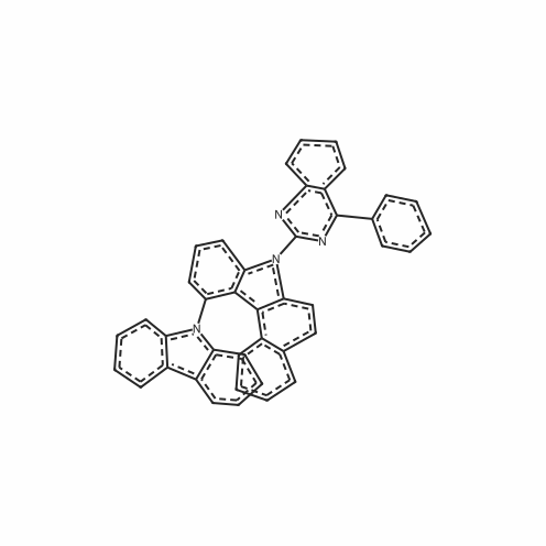 c1ccc(-c2nc(-n3c4cccc(-n5c6ccccc6c6ccccc65)c4c4c5ccccc5ccc43)nc3ccccc23)cc1